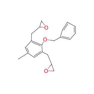 Cc1cc(CC2CO2)c(OCc2ccccc2)c(CC2CO2)c1